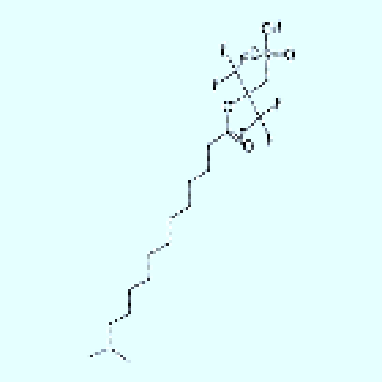 CC(C)CCCCCCCCCCCC(=O)OC(CS(=O)(=O)O)(C(F)(F)F)C(F)(F)F